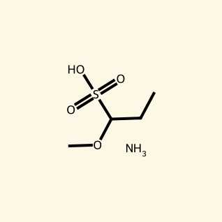 CCC(OC)S(=O)(=O)O.N